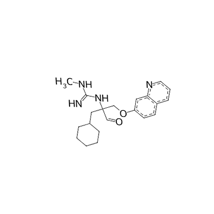 CNC(=N)NC(C=O)(COc1ccc2cccnc2c1)CC1CCCCC1